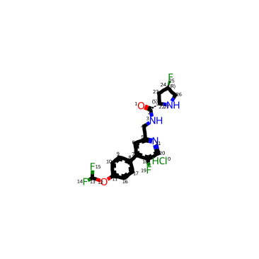 Cl.O=C(NCc1cc(-c2ccc(OC(F)F)cc2)c(F)cn1)[C@@H]1C[C@@H](F)CN1